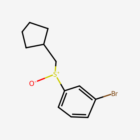 [O-][S+](CC1CCCC1)c1cccc(Br)c1